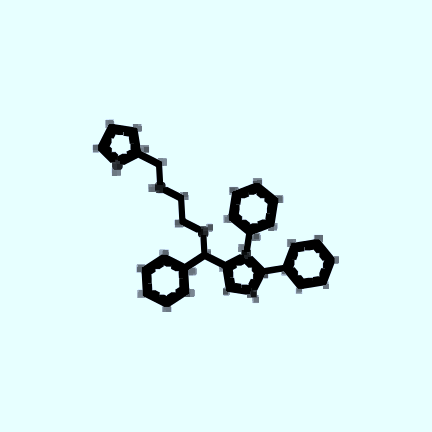 c1ccc(-c2ncc(C(OCCOCc3ccco3)c3ccccc3)n2-c2ccccc2)cc1